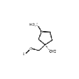 CCOC[C@]1(C=O)CCN(C(=O)O)C1